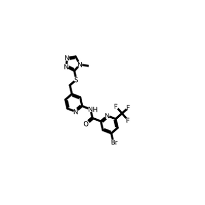 Cn1cnnc1SCc1ccnc(NC(=O)c2cc(Br)cc(C(F)(F)F)n2)c1